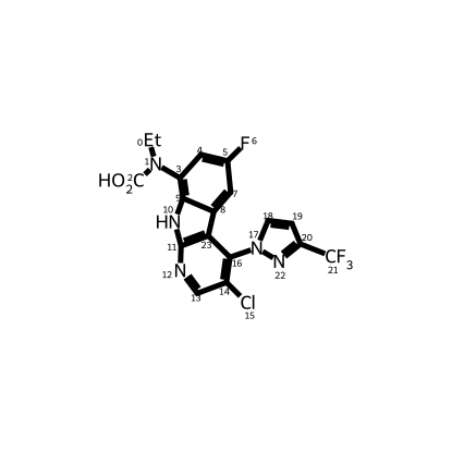 CCN(C(=O)O)c1cc(F)cc2c1[nH]c1ncc(Cl)c(-n3ccc(C(F)(F)F)n3)c12